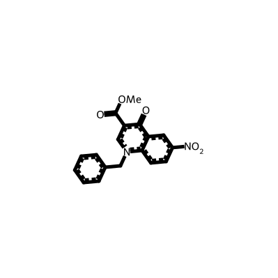 COC(=O)c1cn(Cc2ccccc2)c2ccc([N+](=O)[O-])cc2c1=O